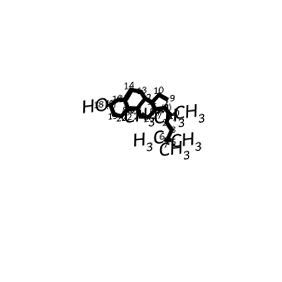 C[C@H](CCC(C)(C)C)[C@H]1CCC2C3CC=C4C[C@@H](O)CC[C@]4(C)C3CC[C@@]21C